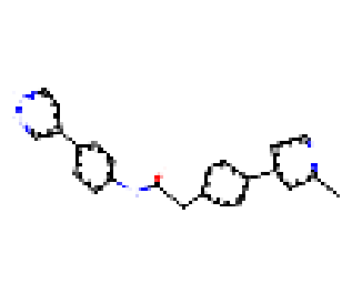 Cc1cc(-c2ccc(CC(=O)Nc3ccc(-c4ccnnc4)cc3)cc2)ccn1